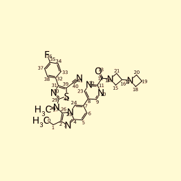 CCc1nc2ccc(-c3cnc(C(=O)N4CC(N5CCC5)C4)nc3)cn2c1N(C)c1nc(-c2ccc(F)cc2)c(C#N)s1